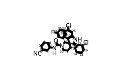 N#Cc1cccc(NC(=O)N2CC[C@@H](C3C=CC=C(Cl)C3)[C@]3(C(=O)Nc4cc(Cl)ccc43)[C@H]2c2cccc(F)c2)c1